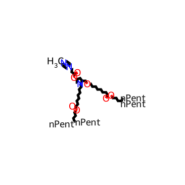 CCCCCC(CCCCC)CCCOC(=O)CCCCCCCOCC1C[C@H](OC(=O)CCN2CCN(C)CC2)CN1CCCCCCCC(=O)OCCCC(CCCCC)CCCCC